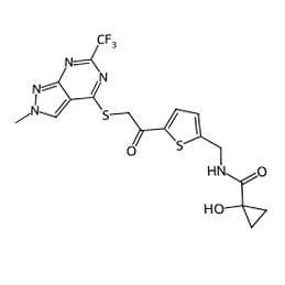 Cn1cc2c(SCC(=O)c3ccc(CNC(=O)C4(O)CC4)s3)nc(C(F)(F)F)nc2n1